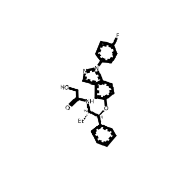 CC[C@H](NC(=O)CO)[C@@H](Oc1ccc2c(cnn2-c2ccc(F)cc2)c1)c1ccccc1